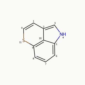 C1=Cc2c[nH]c3cccc(c23)S1